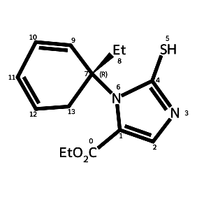 CCOC(=O)c1cnc(S)n1[C@@]1(CC)C=CC=CC1